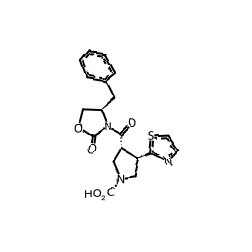 O=C(O)N1C[C@H](C(=O)N2C(=O)OC[C@H]2Cc2ccccc2)[C@@H](c2nccs2)C1